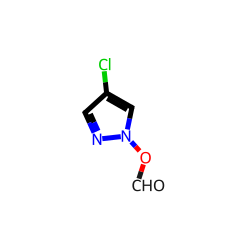 O=COn1cc(Cl)cn1